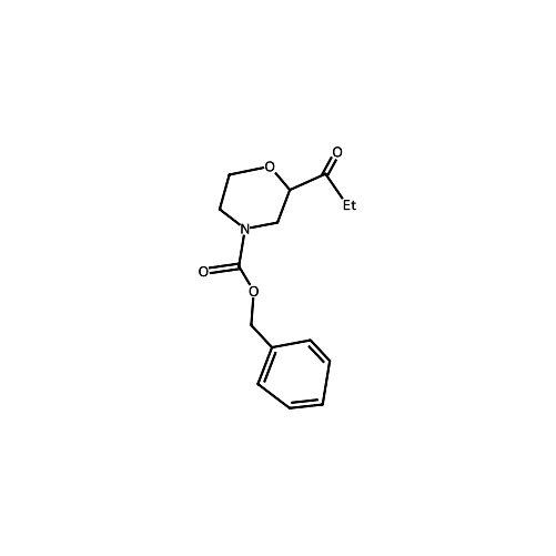 CCC(=O)C1CN(C(=O)OCc2ccccc2)CCO1